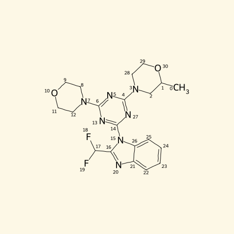 CC1CN(c2nc(N3CCOCC3)nc(-n3c(C(F)F)nc4ccccc43)n2)CCO1